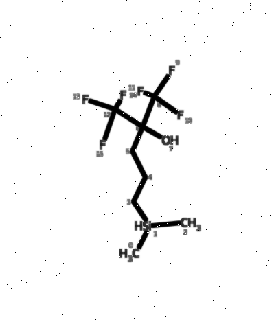 C[SiH](C)CCCC(O)(C(F)(F)F)C(F)(F)F